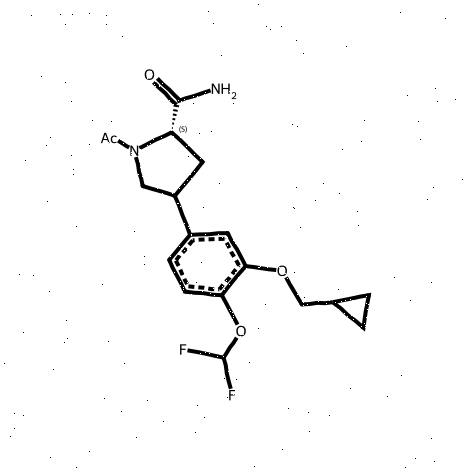 CC(=O)N1CC(c2ccc(OC(F)F)c(OCC3CC3)c2)C[C@H]1C(N)=O